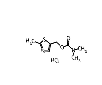 Cc1ncc(COC(=O)N(C)C)s1.Cl